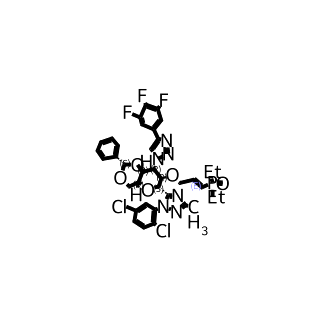 CCP(=O)(/C=C/CO[C@@H]1[C@@H](n2cc(-c3cc(F)c(F)c(F)c3)nn2)[C@H]2O[C@@H](c3ccccc3)OC[C@H]2O[C@H]1c1nc(C)nn1-c1cc(Cl)ccc1Cl)CC